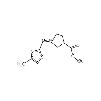 Cc1csc(O[C@H]2CCN(C(=O)OC(C)(C)C)C2)n1